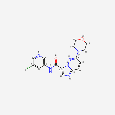 O=C(Nc1cncc(F)c1)c1cnc2ccc(N3CCOCC3)nn12